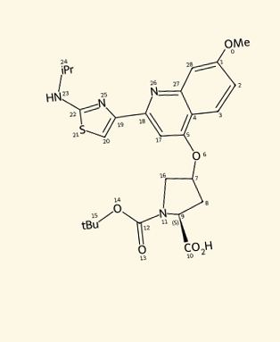 COc1ccc2c(OC3C[C@@H](C(=O)O)N(C(=O)OC(C)(C)C)C3)cc(-c3csc(NC(C)C)n3)nc2c1